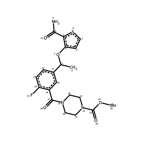 CC(Oc1ccsc1C(N)=O)c1ccc(F)c(C(=O)N2CCN(C(=O)OC(C)(C)C)CC2)c1